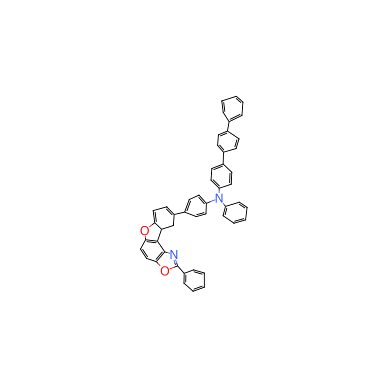 C1=C(c2ccc(N(c3ccccc3)c3ccc(-c4ccc(-c5ccccc5)cc4)cc3)cc2)CC2C(=C1)Oc1ccc3oc(-c4ccccc4)nc3c12